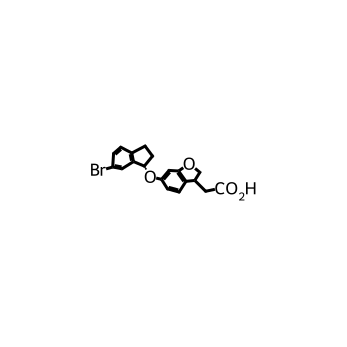 O=C(O)CC1COc2cc(O[C@H]3CCc4ccc(Br)cc43)ccc21